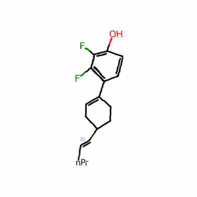 CCC/C=C/C1CC=C(c2ccc(O)c(F)c2F)CC1